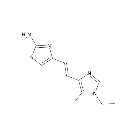 CCn1cnc(C=Cc2csc(N)n2)c1C